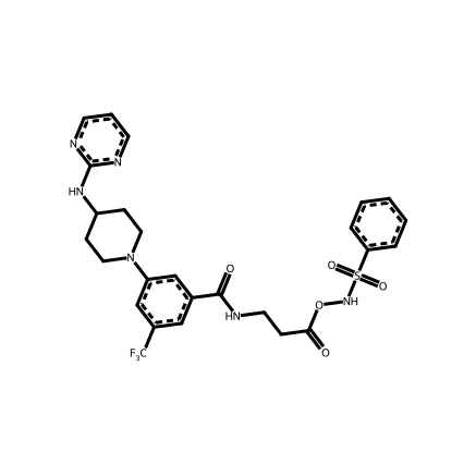 O=C(CCNC(=O)c1cc(N2CCC(Nc3ncccn3)CC2)cc(C(F)(F)F)c1)ONS(=O)(=O)c1ccccc1